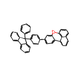 c1ccc(C2(c3ccc(-c4ccc5c(c4)Oc4cccc6cccc-5c46)cc3)c3ccccc3-c3ccccc32)cc1